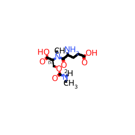 [2H]N(C)C(=O)OC[C@@H](C(=O)O)N(C)C(=O)C(N)CCC(=O)O